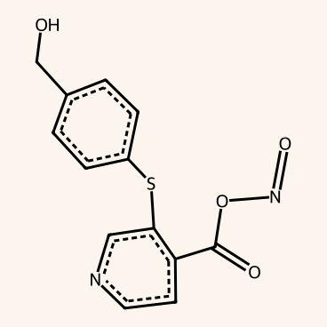 O=NOC(=O)c1ccncc1Sc1ccc(CO)cc1